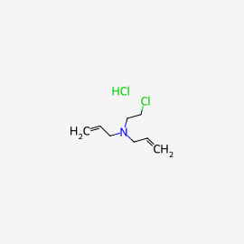 C=CCN(CC=C)CCCl.Cl